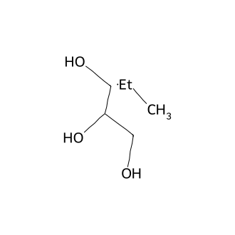 C[CH]C.OCC(O)CO